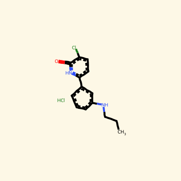 CCCNc1cccc(-c2ccc(Cl)c(=O)[nH]2)c1.Cl